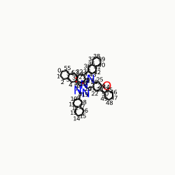 c1ccc2cc(-c3nc(-c4ccc5ccccc5c4)nc(-c4cc5c(cc4-n4c6ccccc6c6cc7ccccc7cc64)oc4ccccc45)n3)ccc2c1